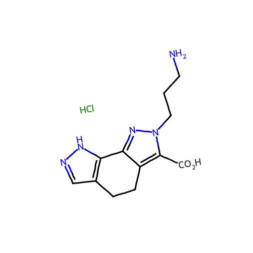 Cl.NCCCn1nc2c(c1C(=O)O)CCc1cn[nH]c1-2